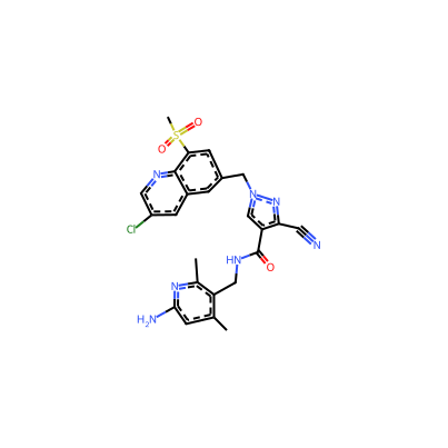 Cc1cc(N)nc(C)c1CNC(=O)c1cn(Cc2cc(S(C)(=O)=O)c3ncc(Cl)cc3c2)nc1C#N